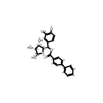 O=C(OC(c1ccc(Cl)c(Cl)c1)[C@H]1O[C@@H](O)[C@H](O)[C@@H]1O)c1ccc(-c2ccccc2)cc1